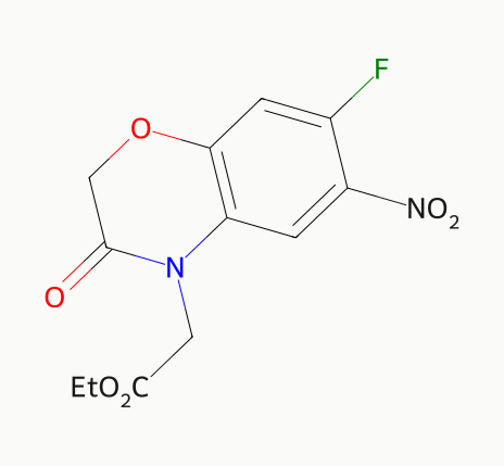 CCOC(=O)CN1C(=O)COc2cc(F)c([N+](=O)[O-])cc21